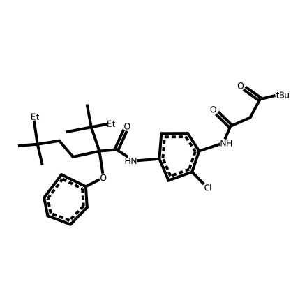 CCC(C)(C)CCC(Oc1ccccc1)(C(=O)Nc1ccc(NC(=O)CC(=O)C(C)(C)C)c(Cl)c1)C(C)(C)CC